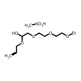 C=CCOC(O)COCCOCCOCC.CS(=O)(=O)O